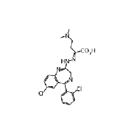 CN(C)CCC(=NNC1=Nc2ccc(Cl)cc2C(c2ccccc2Cl)=NC1)C(=O)O